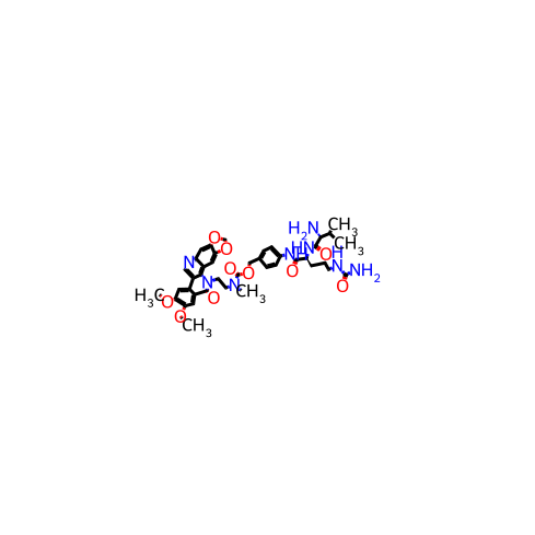 COc1cc2c(=O)n(CCN(C)C(=O)OCc3ccc(NC(=O)[C@H](CCCNC(N)=O)NC(=O)[C@@H](N)C(C)C)cc3)c3c4cc5c(cc4ncc3c2cc1OC)OCO5